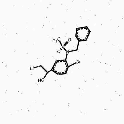 CS(=O)(=O)N(Cc1ccccc1)c1cc(C(O)CCl)ccc1Br